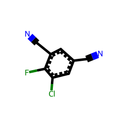 N#Cc1cc(Cl)c(F)c(C#N)c1